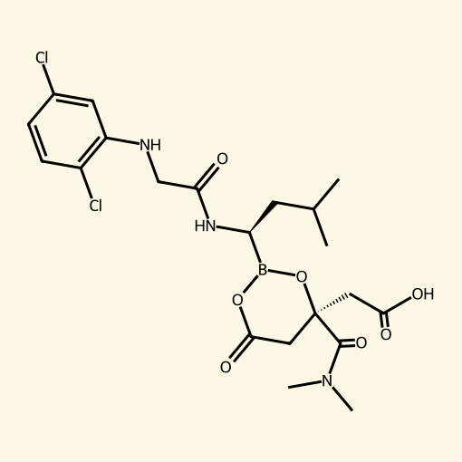 CC(C)C[C@H](NC(=O)CNc1cc(Cl)ccc1Cl)B1OC(=O)C[C@](CC(=O)O)(C(=O)N(C)C)O1